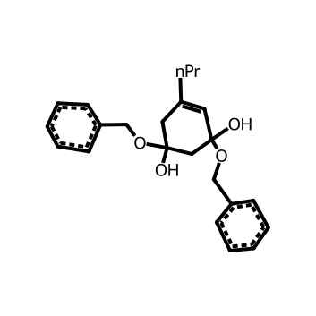 CCCC1=CC(O)(OCc2ccccc2)CC(O)(OCc2ccccc2)C1